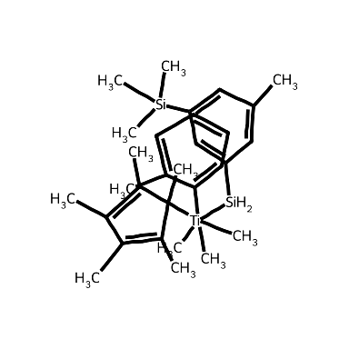 CC1=C(C)[C](C)([Ti]([CH3])([CH3])([CH3])([SiH2]c2cc(C)cc([Si](C)(C)C)c2)[c]2ccccc2C)C(C)=C1C